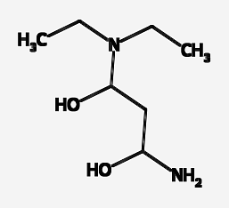 CCN(CC)C(O)CC(N)O